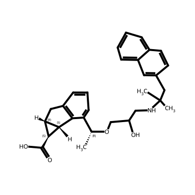 C[C@@H](OCC(O)CNC(C)(C)Cc1ccc2ccccc2c1)c1cccc2c1[C@H]1[C@@H](C2)[C@@H]1C(=O)O